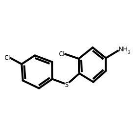 Nc1ccc(Sc2ccc(Cl)cc2)c(Cl)c1